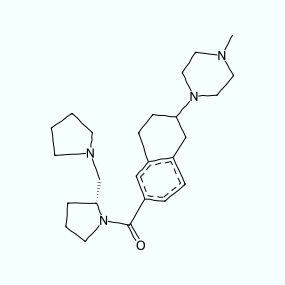 CN1CCN(C2CCc3cc(C(=O)N4CCC[C@@H]4CN4CCCC4)ccc3C2)CC1